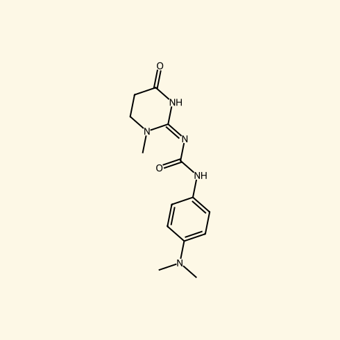 CN1CCC(=O)NC1=NC(=O)Nc1ccc(N(C)C)cc1